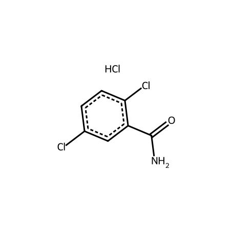 Cl.NC(=O)c1cc(Cl)ccc1Cl